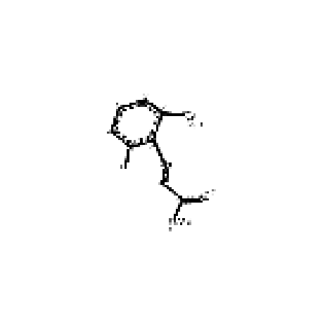 COC(=O)C=Cc1c(C)cccc1C(F)(F)F